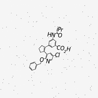 CC(C)C(=O)Nc1cc(C(=O)O)cc(C2=C(c3cc(Cl)cnc3OCc3ccccc3)CCC2)c1